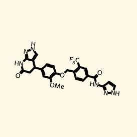 COc1cc(C2CC(=O)Nc3n[nH]cc32)ccc1OCc1ccc(C(=O)Nc2cc[nH]n2)cc1C(F)(F)F